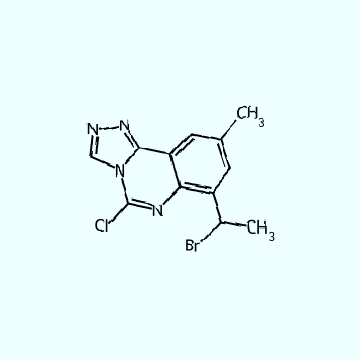 Cc1cc(C(C)Br)c2nc(Cl)n3cnnc3c2c1